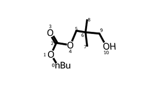 CCCCOC(=O)OCC(C)(C)CO